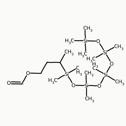 CC(CCO[C]=O)[Si](C)(C)O[Si](C)(C)O[Si](C)(C)O[Si](C)(C)O[Si](C)(C)C